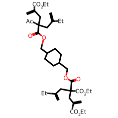 C=C(CC)CC(CC(=C)C(=O)OCC)(C(C)=O)C(=O)OCC1CCC(COC(=O)C(CC(=C)CC)(CC(=C)C(=O)OCC)C(=O)OCC)CC1